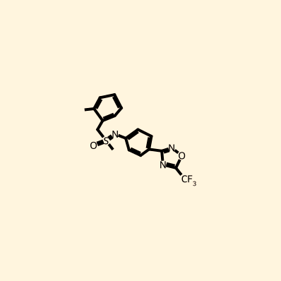 Cc1ccccc1CS(C)(=O)=Nc1ccc(-c2noc(C(F)(F)F)n2)cc1